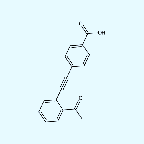 CC(=O)c1ccccc1C#Cc1ccc(C(=O)O)cc1